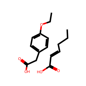 CCCC=CC(=O)O.CCOc1ccc(CC(=O)O)cc1